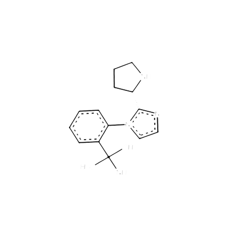 CC(C)(N)c1ccccc1-n1ccnc1[C@@H]1CCCN1